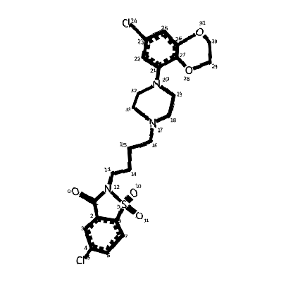 O=C1c2cc(Cl)ccc2S(=O)(=O)N1CCCCN1CCN(c2cc(Cl)cc3c2OCCO3)CC1